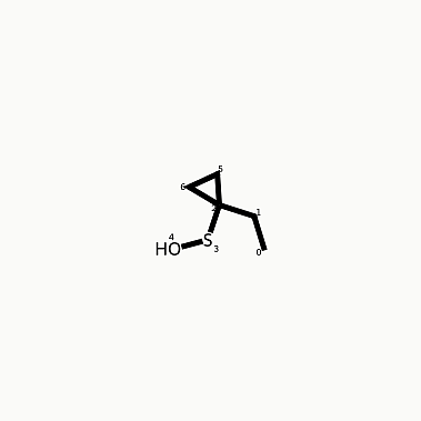 CCC1(SO)CC1